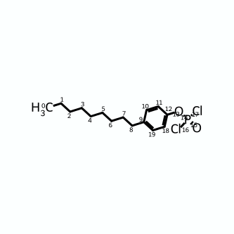 CCCCCCCCCc1ccc(OP(=O)(Cl)Cl)cc1